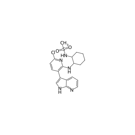 CS(=O)(=O)NC1CCCCC1Nc1nc(Cl)ccc1-c1c[nH]c2ncccc12